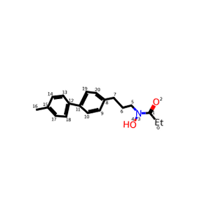 CCC(=O)N(O)CCCc1ccc(-c2ccc(C)cc2)cc1